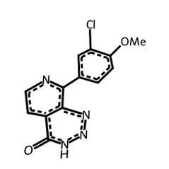 COc1ccc(-c2nccc3c(=O)[nH]nnc23)cc1Cl